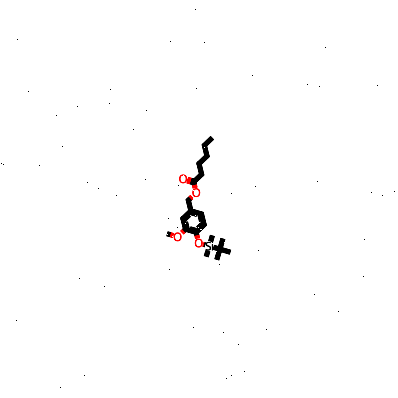 CCCCCC(=O)OCc1ccc(O[Si](C)(C)C(C)(C)C)c(OC)c1